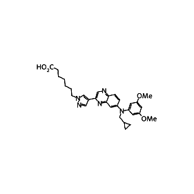 COc1cc(OC)cc(N(CC2CC2)c2ccc3ncc(-c4cnn(CCCCCCC(=O)O)c4)nc3c2)c1